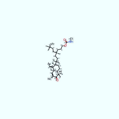 CCCC(C)(C)CC[C@](C)(CCCOC(=O)NCC)CCC(C)(C)[C@]1(C)CC[C@H]2C(C)(C)C(=O)C(C#N)=C[C@]2(C)/C1=C/C(C)=O